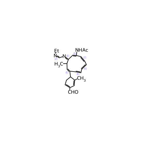 CC\N=C/N=C1/C=C(NC(C)=O)\C=C/C=C/C=C/C(C2CC=C(C=O)C=C2C)=C\C1C